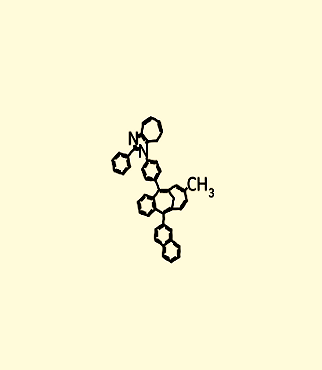 CC1=CC2=C(c3ccc(-n4c(-c5ccccc5)nc5c4CC=CC=C5)cc3)c3ccccc3C(c3ccc4ccccc4c3)=C(C=C1)C2